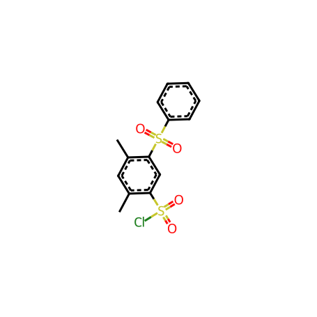 Cc1cc(C)c(S(=O)(=O)c2ccccc2)cc1S(=O)(=O)Cl